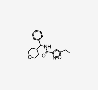 CCc1cc(C(=O)NC(c2ccccc2)C2CCOCC2)no1